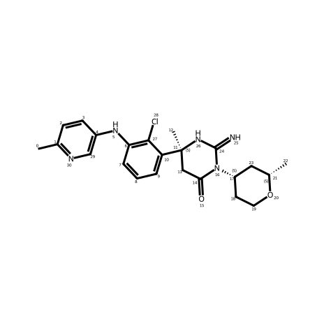 Cc1ccc(Nc2cccc([C@]3(C)CC(=O)N([C@H]4CCO[C@@H](C)C4)C(=N)N3)c2Cl)cn1